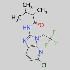 CC(C)C(C)C(=O)Nc1nc2ccc(Cl)nc2n1CC(F)(F)F